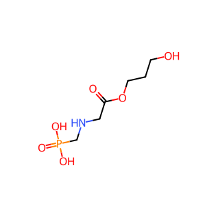 O=C(CNCP(=O)(O)O)OCCCO